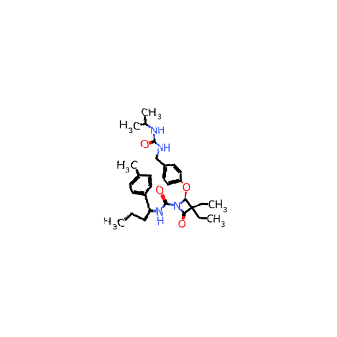 CCCC(NC(=O)N1C(=O)C(CC)(CC)[C@@H]1Oc1ccc(CNC(=O)NC(C)C)cc1)c1ccc(C)cc1